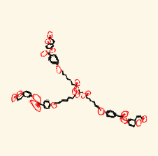 O=C(CCCCCCOc1ccc(C(=O)Oc2ccc3oc(=O)ccc3c2)cc1)OCC(COC(=O)CCCCCCOc1ccc(C(=O)Oc2ccc3oc(=O)ccc3c2)cc1)OC(=O)CCCCCCOc1ccc(C(=O)Oc2ccc3oc(=O)ccc3c2)cc1